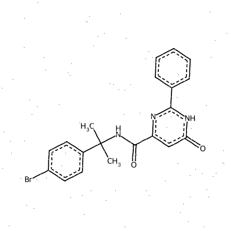 CC(C)(NC(=O)c1cc(=O)[nH]c(-c2ccccc2)n1)c1ccc(Br)cc1